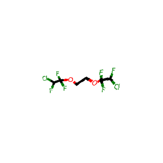 FC(Cl)C(F)(F)OCCOC(F)(F)C(F)Cl